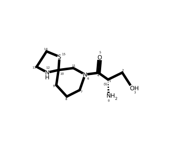 N[C@@H](CO)C(=O)N1CCCC2(C1)NCCS2